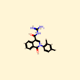 Cc1ccc(-n2cc(C(=O)NC(=N)N)c3ccccc3c2=O)c(C)c1